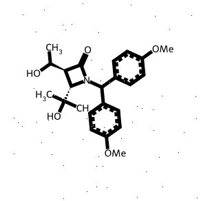 COc1ccc(C(c2ccc(OC)cc2)N2C(=O)[C@H](C(C)O)[C@H]2C(C)(C)O)cc1